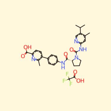 Cc1cc(NC(=O)N2CCC[C@@H]2C(=O)Nc2ccc(-c3ccc(C(=O)O)nc3C)cc2)ncc1C(C)C.O=C(O)C(F)(F)F